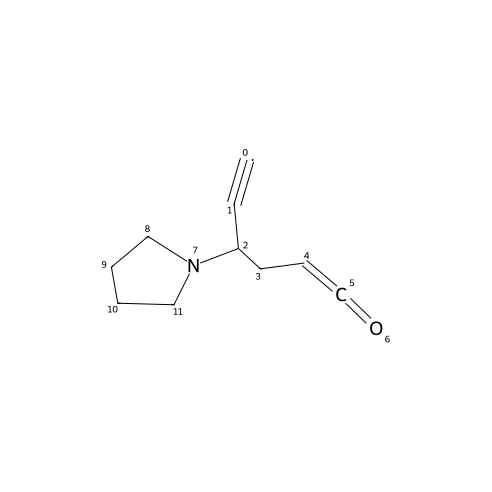 [C]#CC(CC=C=O)N1CCCC1